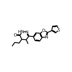 CCCC1C(=O)NN=C(c2ccc3nc(-c4ccsc4)oc3c2)C1C